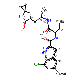 COc1cc(Cl)c2[nH]c(C(=O)NC(CC(C)(C)C)C(=O)N[C@H](C#N)CC3CC4(CC4)NC3=O)cc2c1